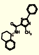 Cc1nc(-c2ccccc2)sc1C(=O)N[C@H]1CCCc2ccccc21